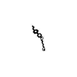 CCCc1ccc(C2CCC(OCCCCCCOC)CC2)cc1